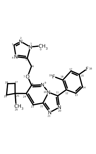 Cn1ncnc1COc1nn2c(-c3ccc(F)cc3F)nnc2cc1C1(C)CCC1